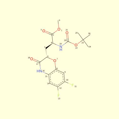 COC(=O)[C@H](C[C@@H]1Oc2cc(F)c(F)cc2NC1=O)NC(=O)OC(C)(C)C